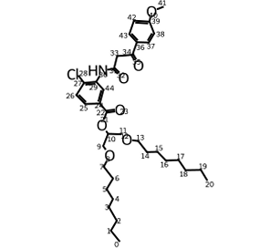 CCCCCCCCOCC(COCCCCCCCC)OC(=O)c1ccc(Cl)c(NC(=O)CC(=O)c2ccc(OC)cc2)c1